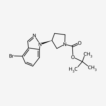 CC(C)(C)OC(=O)N1CC[C@H](n2ncc3c(Br)cccc32)C1